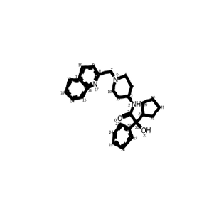 O=C(NC1CCN(Cc2ccc3ccccc3n2)CC1)C(O)(c1ccccc1)C1CCCC1